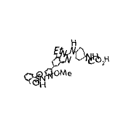 CCc1cc(-c2ccc(NS(=O)(=O)c3ccccc3C)nc2OC)cc2cnc(NC3CCC(NC(=O)O)CC3)nc12